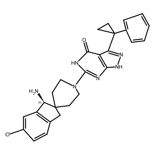 N[C@@H]1c2cc(Cl)ccc2CC12CCN(c1nc3[nH]nc(C4(c5ccccc5)CC4)c3c(=O)[nH]1)CC2